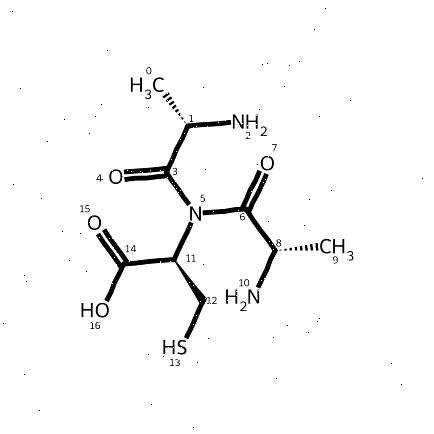 C[C@H](N)C(=O)N(C(=O)[C@H](C)N)[C@@H](CS)C(=O)O